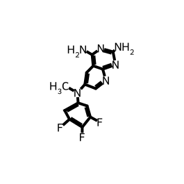 CN(c1cc(F)c(F)c(F)c1)c1cnc2nc(N)nc(N)c2c1